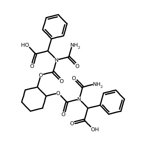 NC(=O)N(C(=O)OC1CCCCC1OC(=O)N(C(N)=O)C(C(=O)O)c1ccccc1)C(C(=O)O)c1ccccc1